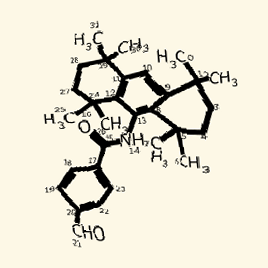 CC1(C)CCC(C)(C)c2c1cc1c(c2NC(=O)c2ccc(C=O)cc2)C(C)(C)CCC1(C)C